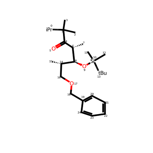 CC(C)C(C)(C)C(=O)[C@H](C)[C@@H](O[Si](C)(C)C(C)(C)C)[C@@H](C)COCc1ccccc1